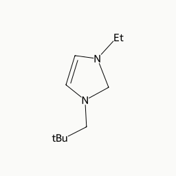 CCN1C=CN(CC(C)(C)C)C1